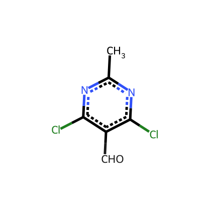 Cc1nc(Cl)c(C=O)c(Cl)n1